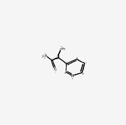 CCCC(C(N)=O)c1cccnc1